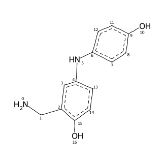 NCc1cc(Nc2ccc(O)cc2)ccc1O